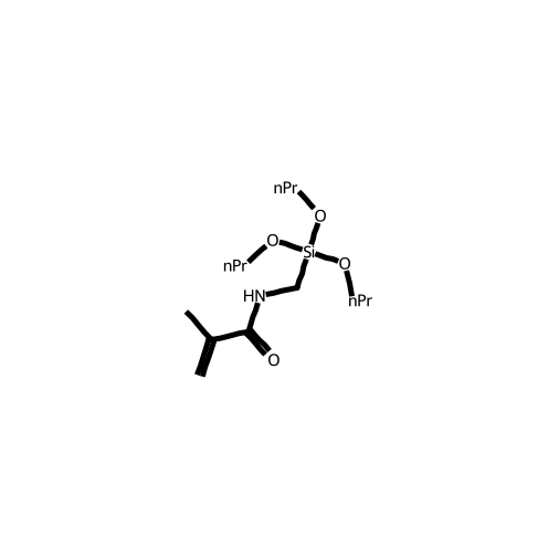 C=C(C)C(=O)NC[Si](OCCC)(OCCC)OCCC